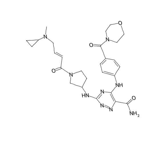 CN(CC=CC(=O)N1CCC(Nc2nnc(C(N)=O)c(Nc3ccc(C(=O)N4CCOCC4)cc3)n2)C1)C1CC1